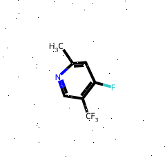 Cc1cc(F)c(C(F)(F)F)cn1